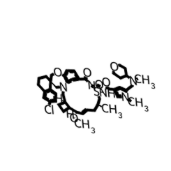 CO[C@H]1/C=C/C[C@H](C)C[S@@](=O)(NC(=O)c2cc(CN(C)C3CCOCC3)n(C)c2)=NC(=O)c2ccc3c(c2)N(C[C@@H]2CC[C@H]21)C[C@@]1(CCCc2cc(Cl)ccc21)CO3